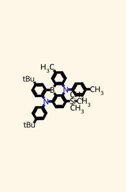 Cc1ccc(N2c3ccc(C)cc3B3c4cc(C(C)(C)C)ccc4N(c4ccc(C(C)(C)C)cc4)c4ccc([Si](C)(C)C)c2c43)cc1